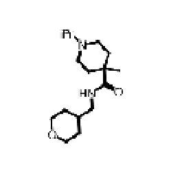 CC(C)N1CCC(C)(C(=O)NCC2CCOCC2)CC1